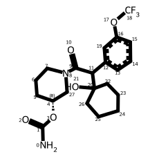 NC(=O)O[C@@H]1CCCN(C(=O)C(c2cccc(OC(F)(F)F)c2)C2(O)CCCCC2)C1